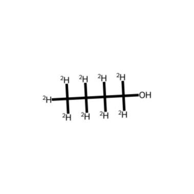 [2H]C([2H])([2H])C([2H])([2H])C([2H])([2H])C([2H])([2H])O